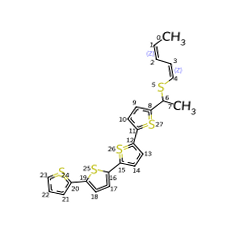 C/C=C\C=C/SC(C)c1ccc(-c2ccc(C3=C=C=C(c4cccs4)S3)s2)s1